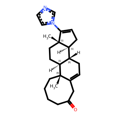 C[C@]12CCCCC(=O)CC1=CC[C@@H]1[C@@H]2CC[C@]2(C)C(n3ccnc3)=CC[C@@H]12